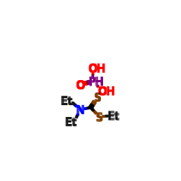 CCSC(=S)N(CC)CC.O=[PH](O)O